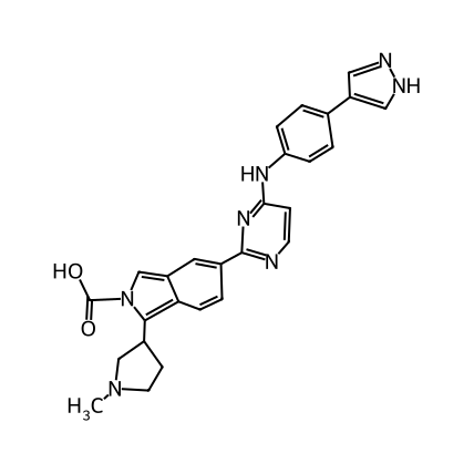 CN1CCC(c2c3ccc(-c4nccc(Nc5ccc(-c6cn[nH]c6)cc5)n4)cc3cn2C(=O)O)C1